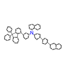 c1ccc(C2(c3ccccc3)c3ccccc3-c3c(-c4cccc(N(c5ccc(-c6ccc(-c7ccc8ccccc8c7)cc6)cc5)c5cccc6ccccc56)c4)cccc32)cc1